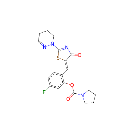 O=C1N=C(N2CCCC=N2)SC1=Cc1ccc(F)cc1OC(=O)N1CCCC1